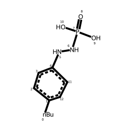 CCCCc1ccc(NNP(=O)(O)O)cc1